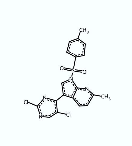 Cc1ccc(S(=O)(=O)n2cc(-c3nc(Cl)ncc3Cl)c3ccc(C)nc32)cc1